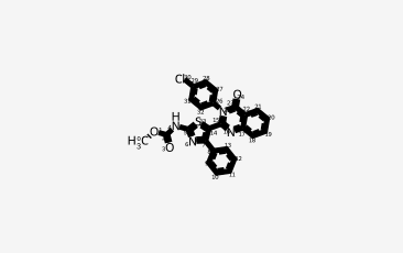 COC(=O)Nc1nc(-c2ccccc2)c(-c2nc3ccccc3c(=O)n2-c2ccc(Cl)cc2)s1